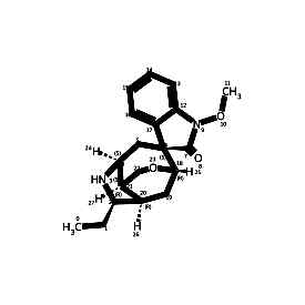 CC[C@H]1N[C@H]2C[C@@]3(C(=O)N(OC)c4ccccc43)[C@H]3C[C@@H]1[C@@H]2CO3